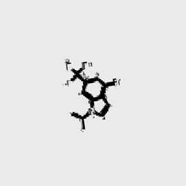 CC(C)n1ccc2c(Br)cc(C(F)(F)F)cc21